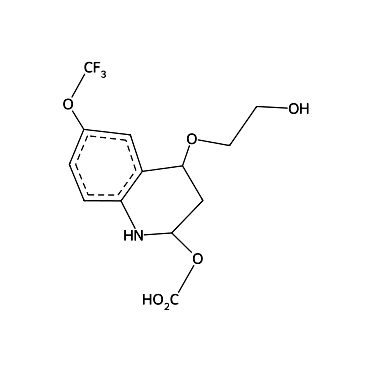 O=C(O)OC1CC(OCCO)c2cc(OC(F)(F)F)ccc2N1